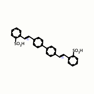 O=S(=O)(O)c1ccccc1/C=C/c1ccc(-c2ccc(/C=C/c3ccccc3S(=O)(=O)O)cc2)cc1